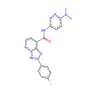 CN(C)c1ccc(NC(=O)c2ccnc3[nH]c(-c4ccc(F)cc4)nc23)cn1